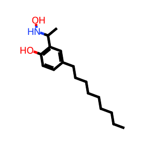 CCCCCCCCCc1ccc(O)c(C(C)NO)c1